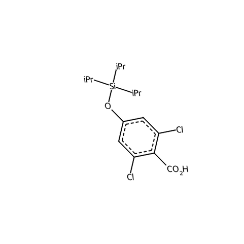 CC(C)[Si](Oc1cc(Cl)c(C(=O)O)c(Cl)c1)(C(C)C)C(C)C